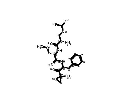 COC[C@H](NC(=O)[C@@H](N)COC(F)F)C(=O)N[C@@H](Cc1ccccc1)C(=O)[C@]1(C)CO1